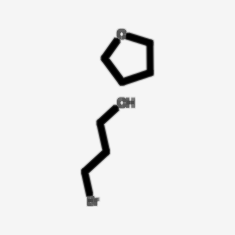 C1CCOC1.OCCCBr